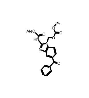 COC(=O)Nc1nc2cc(C(=O)c3ccccc3)ccc2n1COC(=O)OC(C)C